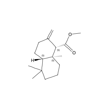 C=C1CC[C@H]2C(C)(C)CCC[C@]2(C)[C@H]1C(=O)OC